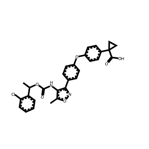 Cc1onc(-c2ccc(Oc3ccc(C4(C(=O)O)CC4)cc3)cc2)c1NC(=O)OC(C)c1ccccc1Cl